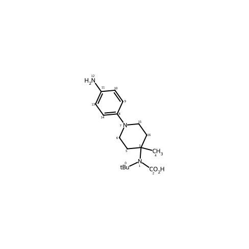 CC(C)(C)N(C(=O)O)C1(C)CCN(c2ccc(N)cc2)CC1